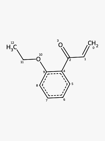 C=CC(=O)c1ccccc1OCC